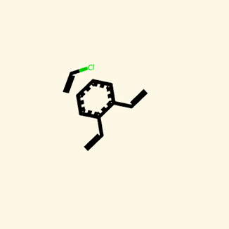 C=CCl.C=Cc1ccccc1C=C